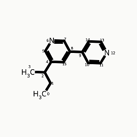 CCC(C)c1cncc(-c2ccncc2)c1